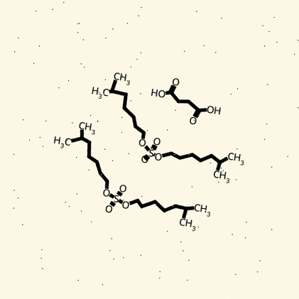 CC(C)CCCCCOS(=O)(=O)OCCCCCC(C)C.CC(C)CCCCCOS(=O)(=O)OCCCCCC(C)C.O=C(O)CCC(=O)O